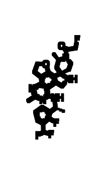 Cc1nc(N[C@H](C)c2cccc(C(F)F)c2F)c2c3c(c4c(c2n1)CCO4)[C@@]1(CCN(C(=O)CF)[C@H](C)C1)NC3